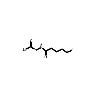 CCC(=O)[N]NC(=O)CCCCF